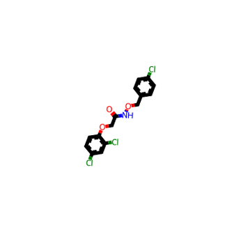 O=C(COc1ccc(Cl)cc1Cl)NOCc1ccc(Cl)cc1